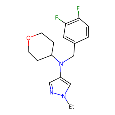 CCn1cc(N(Cc2ccc(F)c(F)c2)C2CCOCC2)cn1